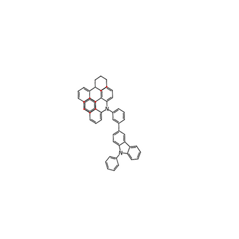 c1ccc(-n2c3ccccc3c3cc(-c4cccc(N(c5ccccc5-c5cccc6cccc(C7CCCCC7)c56)c5cccc6ccccc56)c4)ccc32)cc1